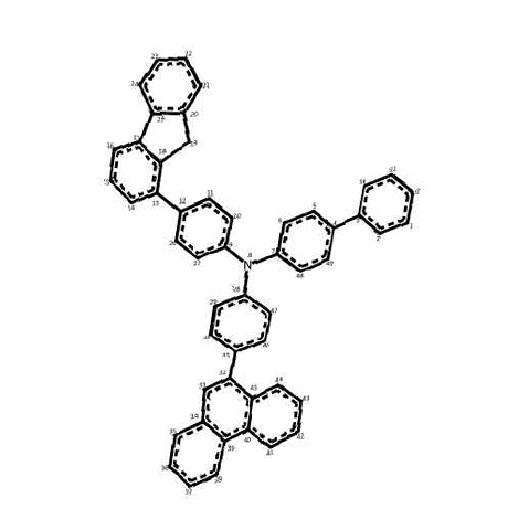 c1ccc(-c2ccc(N(c3ccc(-c4cccc5c4Cc4ccccc4-5)cc3)c3ccc(-c4cc5ccccc5c5ccccc45)cc3)cc2)cc1